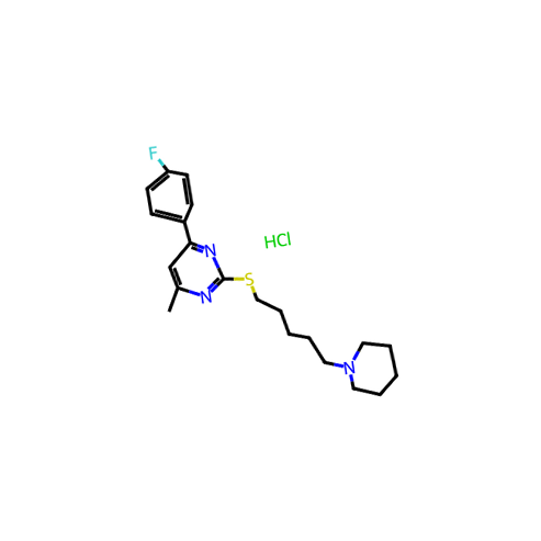 Cc1cc(-c2ccc(F)cc2)nc(SCCCCCN2CCCCC2)n1.Cl